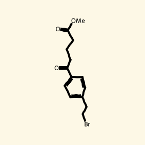 COC(=O)CCCC(=O)c1ccc(CCBr)cc1